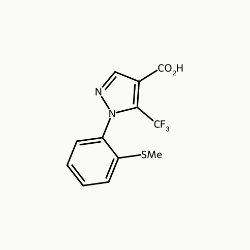 CSc1ccccc1-n1ncc(C(=O)O)c1C(F)(F)F